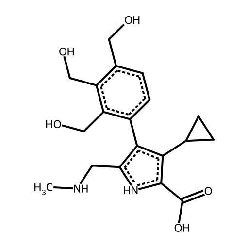 CNCc1[nH]c(C(=O)O)c(C2CC2)c1-c1ccc(CO)c(CO)c1CO